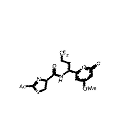 COc1cc(C(CCC(F)(F)F)NC(=O)C2CSC(C(C)=O)=N2)oc(=O)c1